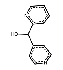 OC(c1ccncc1)c1ccccn1